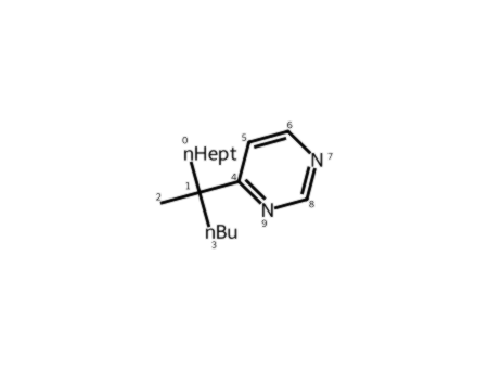 CCCCCCCC(C)(CCCC)c1ccncn1